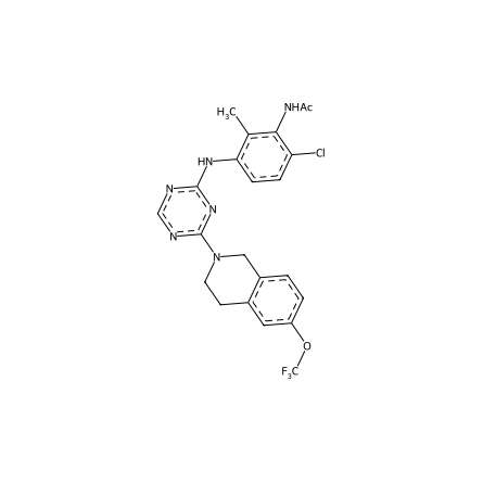 CC(=O)Nc1c(Cl)ccc(Nc2ncnc(N3CCc4cc(OC(F)(F)F)ccc4C3)n2)c1C